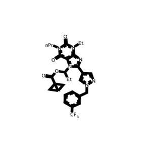 CCCn1c(=O)c2c(nc(-c3cnn(Cc4cccc(C(F)(F)F)c4)c3)n2C(CC)OC(=O)C23CC2C3)n(CC)c1=O